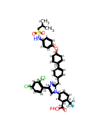 CC(C)CS(=O)(=O)Nc1ccc(Oc2ccc(-c3ccc(Cc4nc(-c5ccc(Cl)cc5Cl)cn4-c4ccc(C(F)(F)F)c(C(=O)O)c4)cc3)cc2)cc1